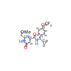 COCc1nc(C(=O)N[C@@H](c2ccc(OC(F)(F)F)cc2)C2CC2)cc(=O)[nH]1